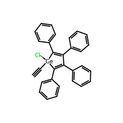 C#[C][Ge]1([Cl])[C](c2ccccc2)=C(c2ccccc2)C(c2ccccc2)=[C]1c1ccccc1